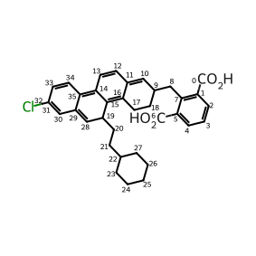 O=C(O)c1cccc(C(=O)O)c1CC1C=c2ccc3c(c2CC1)C(CCC1CCCCC1)C=c1cc(Cl)ccc1=3